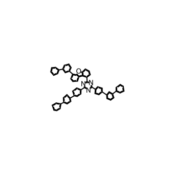 c1ccc(-c2ccc(-c3ccc(-c4nc(-c5ccc(-c6cccc(-c7ccccc7)c6)cc5)nc(-c5cccc6oc7c(-c8cccc(-c9ccccc9)c8)cccc7c56)n4)cc3)cc2)cc1